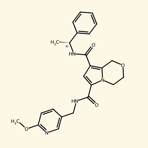 COc1ccc(CNC(=O)c2cc(C(=O)N[C@H](C)c3ccccc3)c3n2CCOC3)cn1